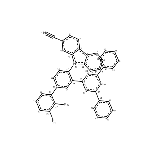 N#Cc1ccc2c3ccccc3n(-c3ccc(-c4cccc(F)c4F)cc3-c3nc(-c4ccccc4)nc(-c4ccccc4)n3)c2c1